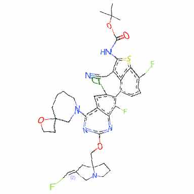 CC(C)(C)OC(=O)Nc1sc2c(F)ccc(-c3c(Cl)cc4c(N5CCCCC6(CCO6)C5)nc(OCC56CCCN5C/C(=C\F)C6)nc4c3F)c2c1C#N